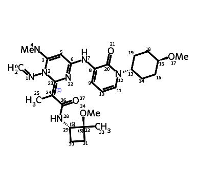 C=NN1C(NC)=CC(Nc2cccn([C@H]3CC[C@H](OC)CC3)c2=O)=N/C1=C(/C)C(=O)N[C@H]1CC[C@]1(C)OC